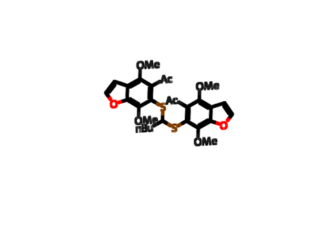 CCCCC(Sc1c(C(C)=O)c(OC)c2ccoc2c1OC)Sc1c(C(C)=O)c(OC)c2ccoc2c1OC